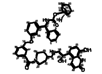 O=C(NC(c1ccccc1)c1cccc(OCc2cccc(C(=O)N3CCC(CNC[C@H](O)c4ccc(O)c5[nH]c(=O)ccc45)CC3)c2)c1)O[C@H]1CN2CCC1CC2